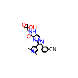 Cc1cc(-c2c(-c3cccc(C#N)c3)nn3ccc(C(=O)NCC4(O)COC4)nc23)cc(C)n1